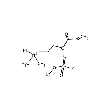 C=CC(=O)OCCC[N+](C)(C)CC.CCOS(=O)(=O)[O-]